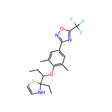 CCC(Oc1c(C)cc(-c2noc(C(F)(F)F)n2)cc1C)C1(CC)NC=CS1